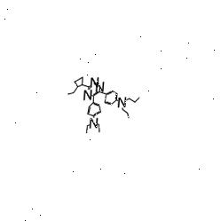 CCCN(CCC)c1ccc(-c2nnc(C3CCC3CC)nc2-c2ccc(N(CC)CC)cc2)cc1